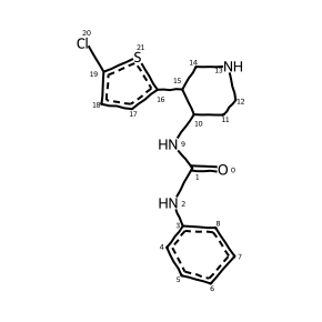 O=C(Nc1ccccc1)NC1CCNCC1c1ccc(Cl)s1